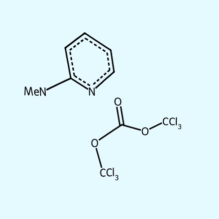 CNc1ccccn1.O=C(OC(Cl)(Cl)Cl)OC(Cl)(Cl)Cl